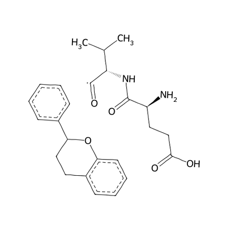 CC(C)[C@@H]([C]=O)NC(=O)[C@@H](N)CCC(=O)O.c1ccc(C2CCc3ccccc3O2)cc1